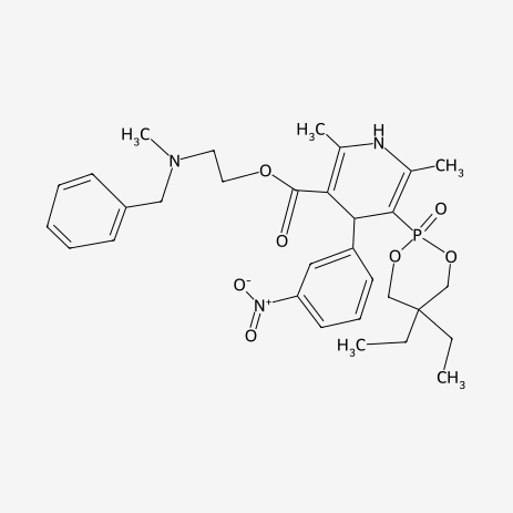 CCC1(CC)COP(=O)(C2=C(C)NC(C)=C(C(=O)OCCN(C)Cc3ccccc3)C2c2cccc([N+](=O)[O-])c2)OC1